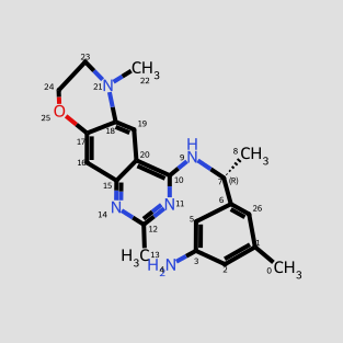 Cc1cc(N)cc([C@@H](C)Nc2nc(C)nc3cc4c(cc23)N(C)CCO4)c1